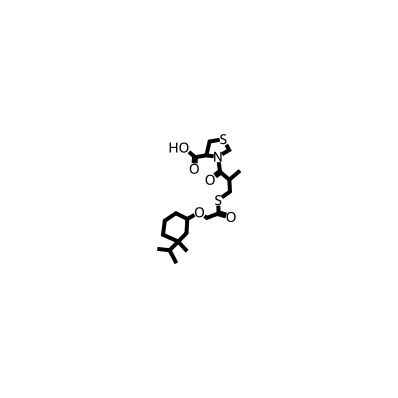 CC(CSC(=O)COC1CCCC(C)(C(C)C)C1)C(=O)N1CSCC1C(=O)O